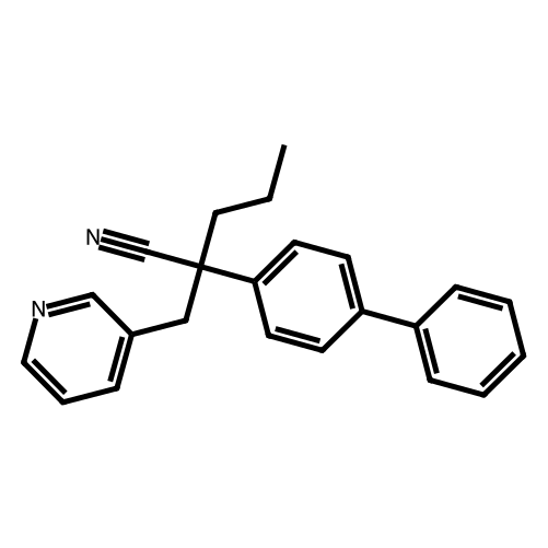 CCCC(C#N)(Cc1cccnc1)c1ccc(-c2ccccc2)cc1